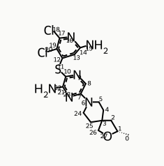 C[C@H]1CC2(CCN(c3cnc(Sc4cc(N)nc(Cl)c4Cl)c(N)n3)CC2)CO1